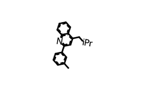 Cc1cccc(-c2cc(CC(C)C)c3ccccc3n2)c1